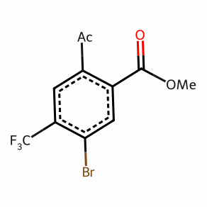 COC(=O)c1cc(Br)c(C(F)(F)F)cc1C(C)=O